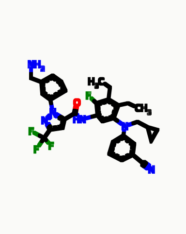 CCc1c(N(CC2CC2)c2cccc(C#N)c2)cc(NC(=O)c2cc(C(F)(F)F)nn2-c2cccc(CN)c2)c(F)c1CC